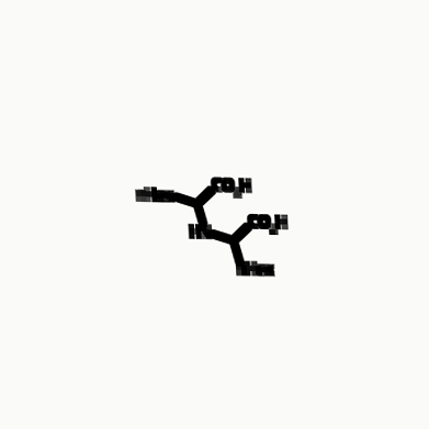 CCCCCCC(NC(CCCCCC)C(=O)O)C(=O)O